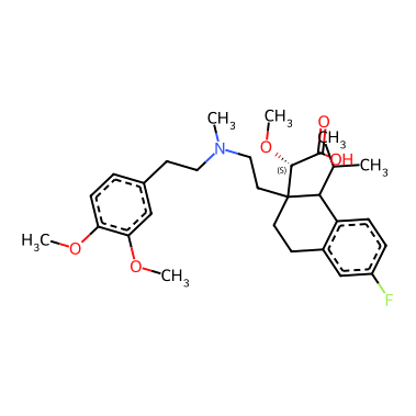 COc1ccc(CCN(C)CCC2([C@H](OC)C(=O)O)CCc3cc(F)ccc3C2C(C)C)cc1OC